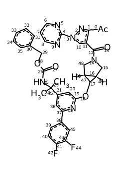 CC(=O)c1nn(-c2ncccn2)cc1C(=O)N1C[C@@H]2C(Oc3cc(C(C)(C)NC(=O)OCc4ccccc4)cc(-c4ccc(F)c(F)c4)n3)[C@@H]2C1